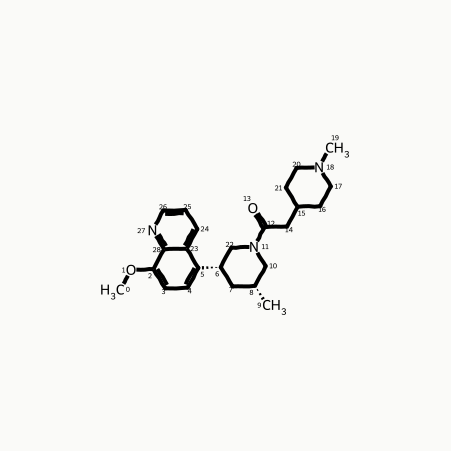 COc1ccc([C@H]2C[C@@H](C)CN(C(=O)CC3CCN(C)CC3)C2)c2cccnc12